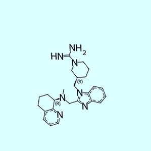 CN(Cc1nc2ccccc2n1C[C@@H]1CCCN(C(=N)N)C1)[C@@H]1CCCc2cccnc21